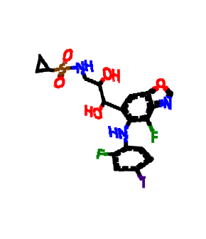 O=S(=O)(NCC(O)C(O)c1cc2ocnc2c(F)c1Nc1ccc(I)cc1F)C1CC1